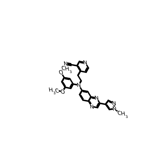 COc1cc(OC)cc(N(CCc2ccncc2C#N)c2ccc3ncc(-c4cnn(C)c4)nc3c2)c1